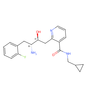 N[C@H](Cc1ccccc1F)[C@@H](O)Cc1ncccc1C(=O)NCC1CC1